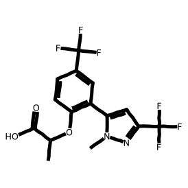 CC(Oc1ccc(C(F)(F)F)cc1-c1cc(C(F)(F)F)nn1C)C(=O)O